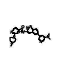 CN1CCN(c2cc(C(=O)Nc3cc4cc(-c5cncc(N(C)C)c5)ccc4nn3)ccn2)CC1